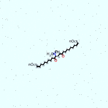 CCCCCCCC/C=C\CCCCCCCC(=O)CC[C@@H](C(=O)CCCCCCC/C=C\CCCCCCCC)N(C)C